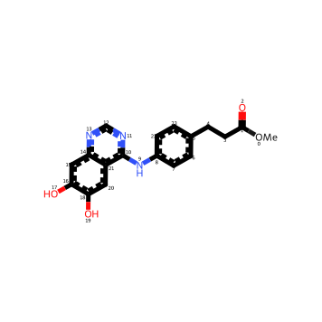 COC(=O)CCc1ccc(Nc2ncnc3cc(O)c(O)cc23)cc1